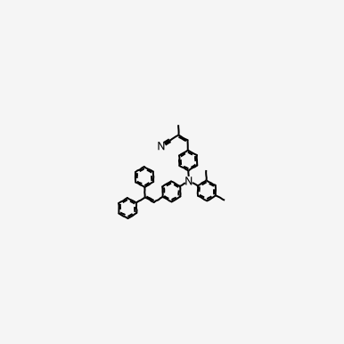 C/C(C#N)=C/c1ccc(N(c2ccc(C=C(c3ccccc3)c3ccccc3)cc2)c2ccc(C)cc2C)cc1